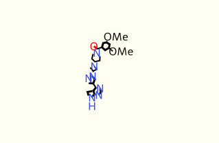 COc1cc(OC)cc(C(=O)N2CCC(N3CC(n4cc(-c5ncnc6[nH]ccc56)cn4)C3)CC2)c1